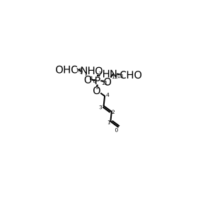 C=CC=CCOP(=O)(ONC=O)ONC=O